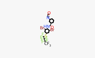 O=C=Nc1cccc(C(=O)Nc2c(Br)cc(SC(F)(F)C(F)(F)C(F)(F)C(F)(F)F)cc2Br)c1